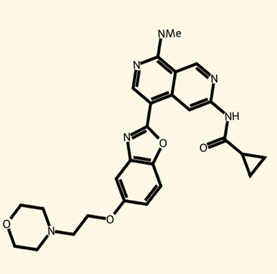 CNc1ncc(-c2nc3cc(OCCN4CCOCC4)ccc3o2)c2cc(NC(=O)C3CC3)ncc12